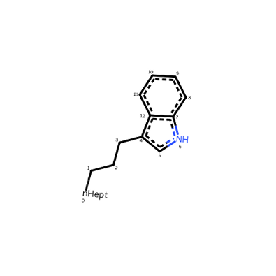 CCCCCCCCCCc1c[nH]c2ccccc12